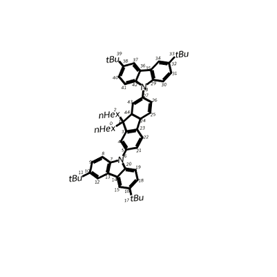 CCCCCCC1(CCCCCC)c2cc(-n3c4ccc(C(C)(C)C)cc4c4cc(C(C)(C)C)ccc43)ccc2C2C=CC(n3c4ccc(C(C)(C)C)cc4c4cc(C(C)(C)C)ccc43)=CC21